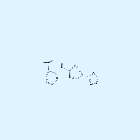 COC(=O)c1ccccc1C(=O)c1ccc(-n2ccnc2)cc1